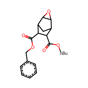 CCCCOC(=O)C1C2CC(C3OC23)C1C(=O)OCc1ccccc1